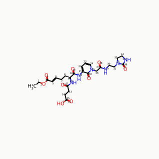 CCOC(=O)C=CCC[C@H](NC(=O)CCC(=O)O)C(=O)Nc1cccn(CC(=O)NCCN2CCNC2=O)c1=O